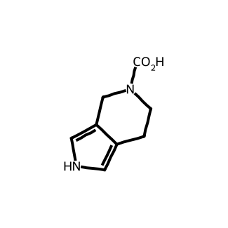 O=C(O)N1CCc2c[nH]cc2C1